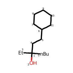 CCCCC(O)(CC)CCC1CCCCC1